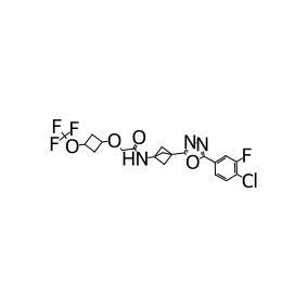 O=C(COC1CC(OC(F)(F)F)C1)NC12CC(c3nnc(-c4ccc(Cl)c(F)c4)o3)(C1)C2